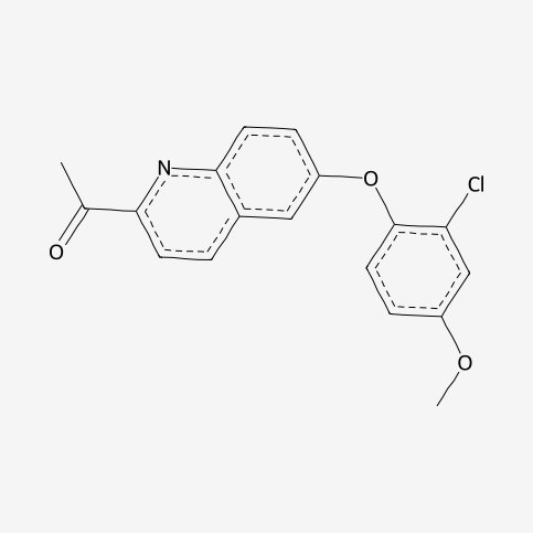 COc1ccc(Oc2ccc3nc(C(C)=O)ccc3c2)c(Cl)c1